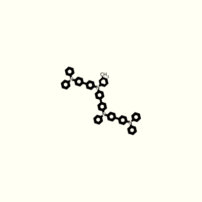 C[C@H]1C=CC=C(N(c2ccc(-c3ccc(N(c4ccccc4)c4ccccc4)cc3)cc2)c2ccc(-c3ccc(N(c4ccccc4)c4ccc(-c5ccc(N(c6ccccc6)c6ccccc6)cc5)cc4)cc3)cc2)C1